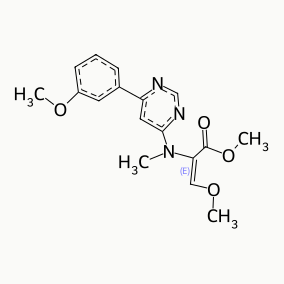 CO/C=C(\C(=O)OC)N(C)c1cc(-c2cccc(OC)c2)ncn1